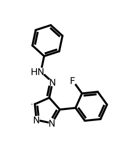 Fc1ccccc1C1=NN=[C]C1=NNc1ccccc1